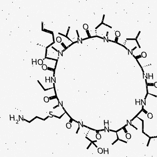 C/C=C/C[C@@H](C)[C@@H](O)[C@H]1C(=O)N[C@H](CC)C(=O)N(C)[C@H](CSCCCN)C(=O)N(C)[C@@H](CC(C)(C)O)C(=O)N[C@H](C(C)C)C(=O)N(C)[C@H](CCC(C)C)C(=O)N[C@H](C)C(=O)N[C@@H](C)C(=O)N(C)[C@@H](CC(C)C)C(=O)N(C)[C@@H](CC(C)C)C(=O)N(C)[C@H](C(C)C)C(=O)N1C